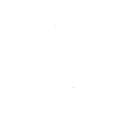 CCCCCCCCCC=COCC(C)(C)O[SiH3]